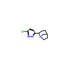 Clc1ccc(C2CCC3CCN2C3)nn1